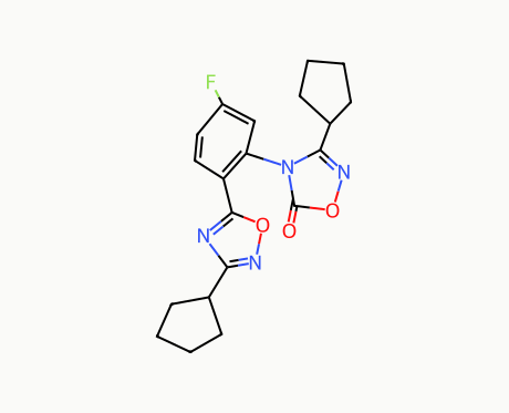 O=c1onc(C2CCCC2)n1-c1cc(F)ccc1-c1nc(C2CCCC2)no1